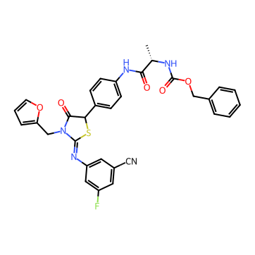 C[C@H](NC(=O)OCc1ccccc1)C(=O)Nc1ccc(C2S/C(=N\c3cc(F)cc(C#N)c3)N(Cc3ccco3)C2=O)cc1